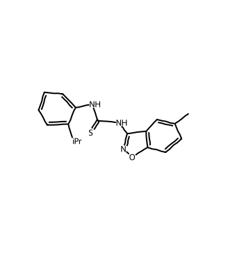 Cc1ccc2onc(NC(=S)Nc3ccccc3C(C)C)c2c1